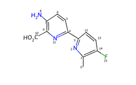 Cc1nc(-c2ccc(N)c(C(=O)O)n2)ccc1F